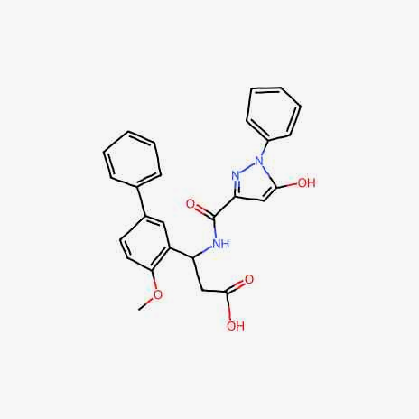 COc1ccc(-c2ccccc2)cc1C(CC(=O)O)NC(=O)c1cc(O)n(-c2ccccc2)n1